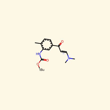 Cc1ccc(C(=O)/C=C/N(C)C)cc1NC(=O)OC(C)(C)C